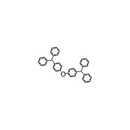 c1ccc(C(c2ccccc2)c2ccc(Oc3ccc(C(c4ccccc4)c4ccccc4)cc3)cc2)cc1